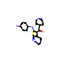 O=C(c1ccncc1)c1c(Nc2ccc(I)cc2F)sc2ncccc12